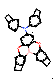 c1cc2c(cc1N(c1ccc3c(c1)CC3)c1cc3c4c(c1)Oc1cc5c(cc1B4c1cc4c(cc1O3)CC4)CC5)CC2